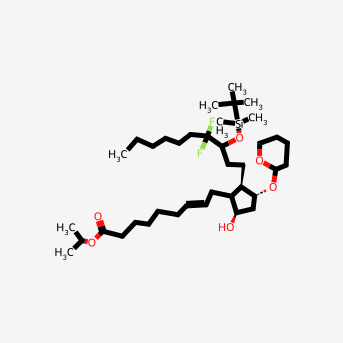 CCCCCCC(F)(F)C(CC[C@@H]1C(CC=CCCCCCC(=O)OC(C)C)[C@H](O)C[C@H]1OC1CCCCO1)O[Si](C)(C)C(C)(C)C